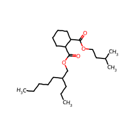 CCCCCC(CCC)COC(=O)C1CCCCC1C(=O)OCCC(C)C